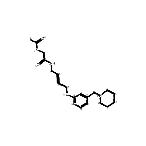 CC(=O)SCC(=O)NCC=CCOc1cc(CN2CCCCC2)ccn1